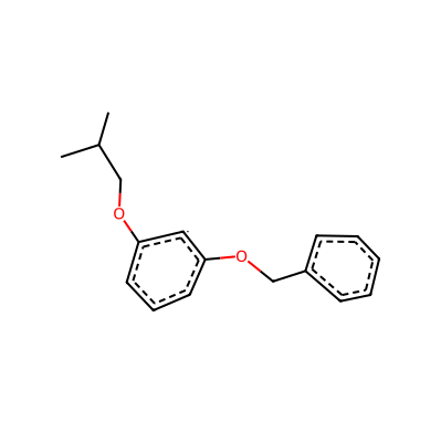 CC(C)COc1[c]c(OCc2ccccc2)ccc1